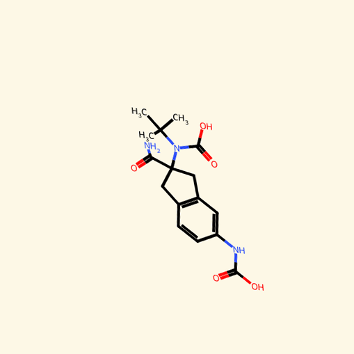 CC(C)(C)N(C(=O)O)C1(C(N)=O)Cc2ccc(NC(=O)O)cc2C1